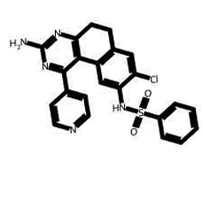 Nc1nc2c(c(-c3ccncc3)n1)-c1cc(NS(=O)(=O)c3ccccc3)c(Cl)cc1CC2